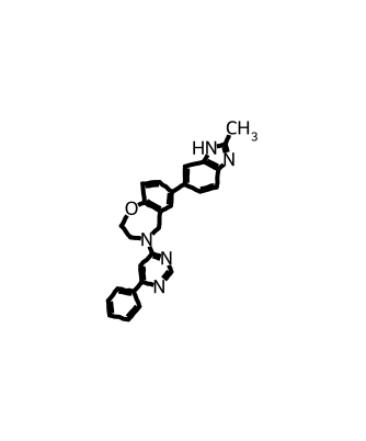 Cc1nc2ccc(-c3ccc4c(c3)CN(c3cc(-c5ccccc5)ncn3)CCO4)cc2[nH]1